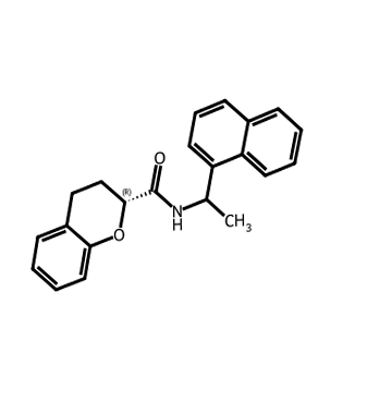 CC(NC(=O)[C@H]1CCc2ccccc2O1)c1cccc2ccccc12